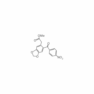 COC(=O)Cc1cc2c(cc1C(=O)c1ccc([N+](=O)[O-])cc1)OCO2